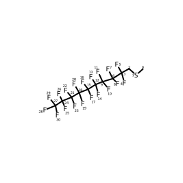 CSCC(F)(F)C(F)(F)C(F)(F)C(F)(F)C(F)(F)C(F)(F)C(F)(F)C(F)(F)C(F)(F)F